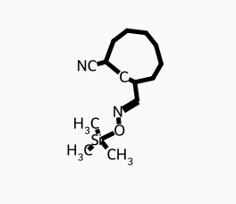 C[Si](C)(C)O/N=C/C1CCCCCCC(C#N)C1